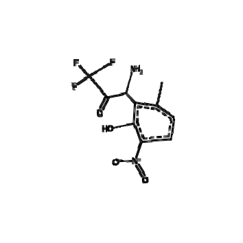 Cc1ccc([N+](=O)[O-])c(O)c1C(N)C(=O)C(F)(F)F